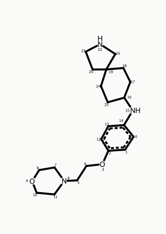 c1cc(OCCN2CCOCC2)ccc1NC1CCC2(CCNC2)CC1